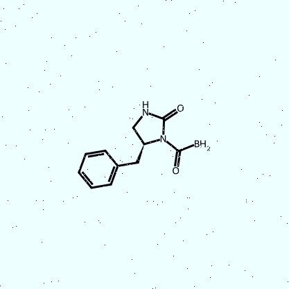 BC(=O)N1C(=O)NC[C@@H]1Cc1ccccc1